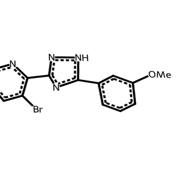 COc1cccc(-c2nc(-c3ncccc3Br)n[nH]2)c1